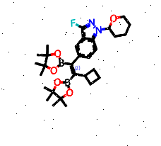 CC1(C)OB(/C(=C(\B2OC(C)(C)C(C)(C)O2)C2CCC2)c2ccc3c(c2)c(F)nn3C2CCCCO2)OC1(C)C